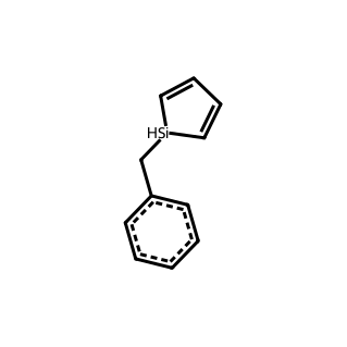 C1=C[SiH](Cc2ccccc2)C=C1